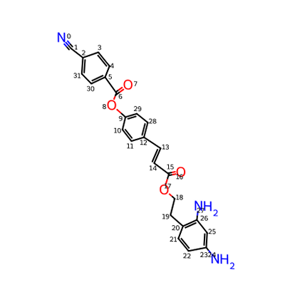 N#Cc1ccc(C(=O)Oc2ccc(/C=C/C(=O)OCCc3ccc(N)cc3N)cc2)cc1